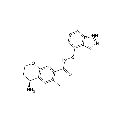 Cc1cc2c(cc1C(=O)NSc1ccnc3[nH]ncc13)OCC[C@@H]2N